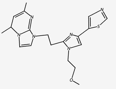 COCCn1cc(-c2cncs2)nc1CCN1C=CN2C1=NC(C)=CC2C